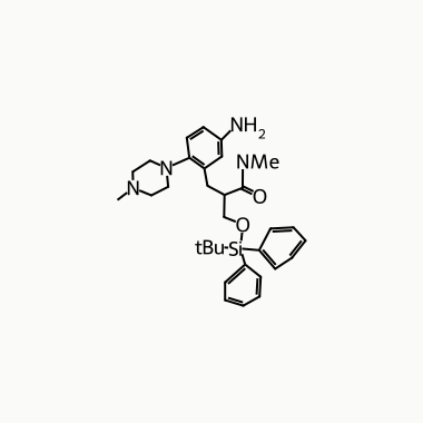 CNC(=O)C(CO[Si](c1ccccc1)(c1ccccc1)C(C)(C)C)Cc1cc(N)ccc1N1CCN(C)CC1